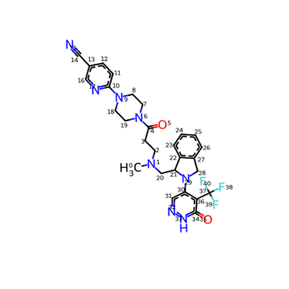 CN(CCC(=O)N1CCN(c2ccc(C#N)cn2)CC1)CC1c2ccccc2CN1c1cn[nH]c(=O)c1C(F)(F)F